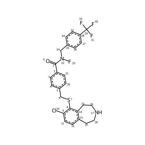 O=C(c1ccc(CSc2c(Cl)ccc3c2CCNCC3)cc1)N(F)Cc1ccc(C(F)(F)F)cc1